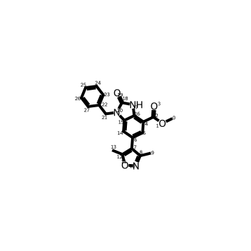 COC(=O)c1cc(-c2c(C)noc2C)cc2c1[nH]c(=O)n2Cc1ccccc1